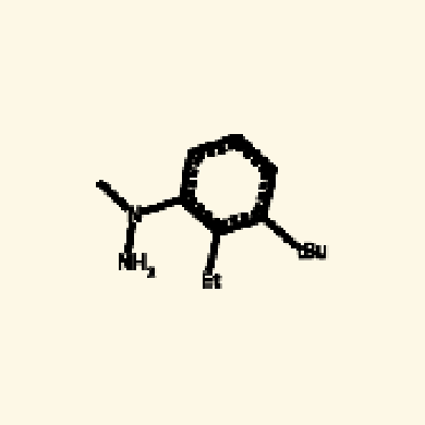 CCc1c(N(C)N)cccc1C(C)(C)C